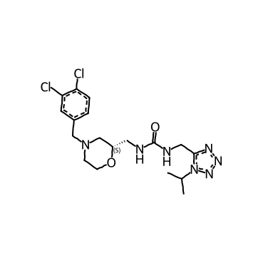 CC(C)n1nnnc1CNC(=O)NC[C@H]1CN(Cc2ccc(Cl)c(Cl)c2)CCO1